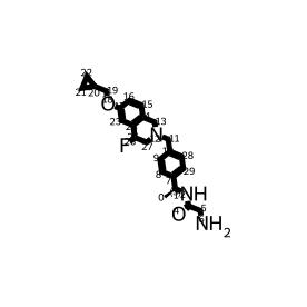 C[C@H](NC(=O)CN)c1ccc(CN2Cc3ccc(OCC4CC4)cc3C(F)C2)cc1